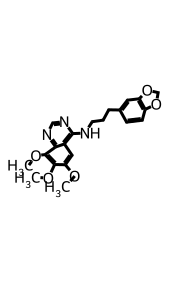 COc1cc2c(NCCCc3ccc4c(c3)OCO4)ncnc2c(OC)c1OC